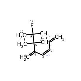 C=C/C=C\C(=C)C(C)(C)C(C)(C)F